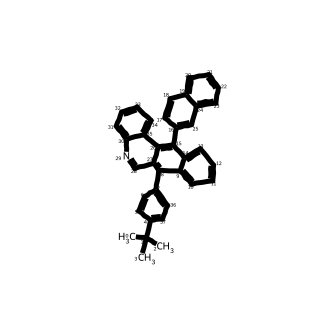 CC(C)(C)c1ccc(-c2c3ccccc3c(-c3ccc4ccccc4c3)c3c2cnc2ccccc23)cc1